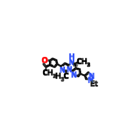 CCn1cc(-c2cncc([C@H](C)Nc3cc(-c4ccc5occ(C)c5c4)nc(C)n3)c2)cn1